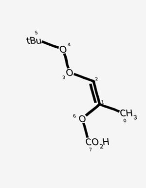 CC(=COOC(C)(C)C)OC(=O)O